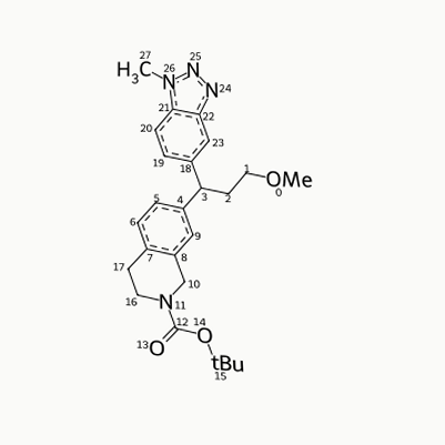 COCCC(c1ccc2c(c1)CN(C(=O)OC(C)(C)C)CC2)c1ccc2c(c1)nnn2C